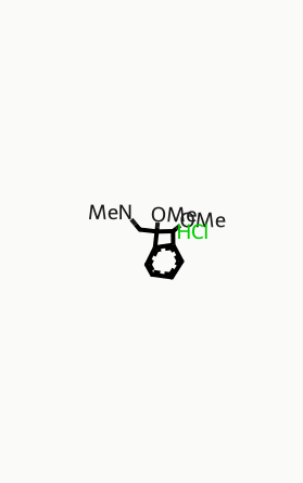 CNCC1(OC)c2ccccc2C1OC.Cl